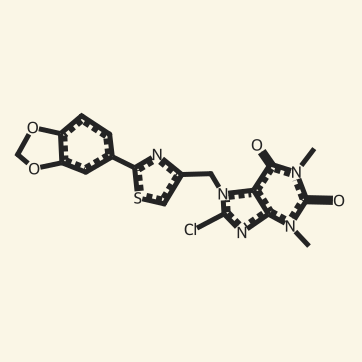 Cn1c(=O)c2c(nc(Cl)n2Cc2csc(-c3ccc4c(c3)OCO4)n2)n(C)c1=O